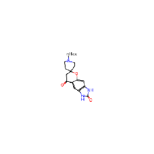 CCCCCCN1CCC2(CC1)CC(=O)c1cc3[nH]c(=O)[nH]c3cc1O2